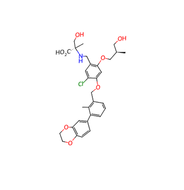 Cc1c(COc2cc(OC[C@H](C)CO)c(CN[C@](C)(CO)C(=O)O)cc2Cl)cccc1-c1ccc2c(c1)OCCO2